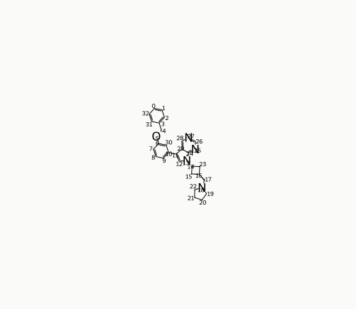 c1ccc(COc2cccc(-c3cn([C@H]4C[C@H](CN5CCCC5)C4)c4ncncc34)c2)cc1